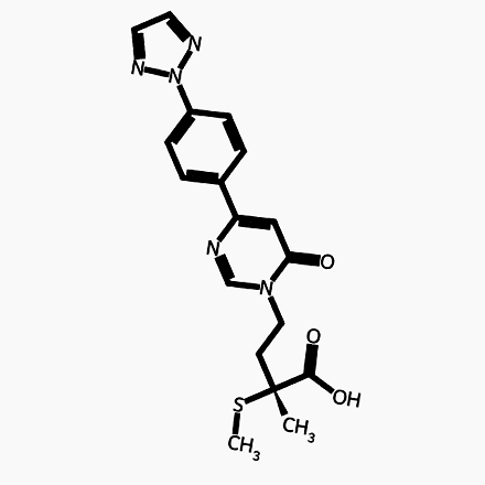 CS[C@](C)(CCn1cnc(-c2ccc(-n3nccn3)cc2)cc1=O)C(=O)O